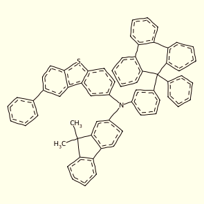 CC1(C)c2ccccc2-c2ccc(N(c3cccc(C4(c5ccccc5)c5ccccc5-c5ccccc5-c5ccccc54)c3)c3ccc4sc5ccc(-c6ccccc6)cc5c4c3)cc21